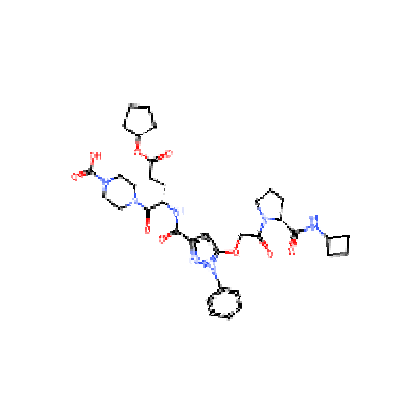 O=C(CC[C@H](NC(=O)c1cc(OCC(=O)N2CCC[C@H]2C(=O)NC2CCC2)n(-c2ccccc2)n1)C(=O)N1CCN(C(=O)O)CC1)OC1CCCC1